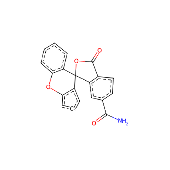 NC(=O)c1ccc2c(c1)C1(OC2=O)c2ccccc2Oc2ccccc21